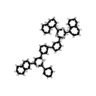 c1ccc(-c2nc(-c3cccc(-c4cccc(-c5nc(-c6cccc7ccccc67)nc(-c6cccc7ccccc67)n5)c4)c3)cc(-c3ccc4ccccc4c3)n2)cc1